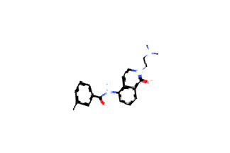 Cc1cccc(C(=O)Nc2cccc3c(=O)n(CCN(C)C)ccc23)c1